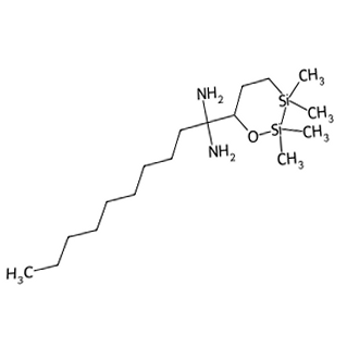 CCCCCCCCCC(N)(N)C1CC[Si](C)(C)[Si](C)(C)O1